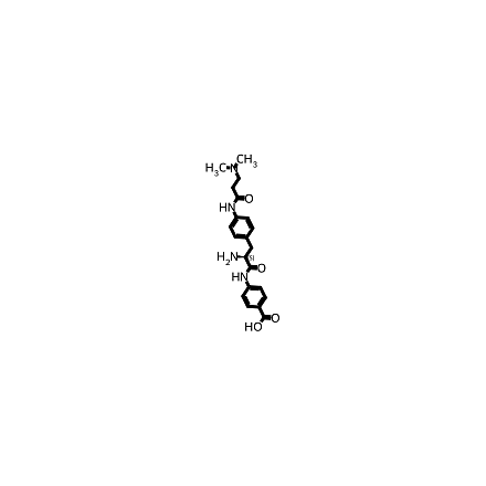 CN(C)CCC(=O)Nc1ccc(C[C@H](N)C(=O)Nc2ccc(C(=O)O)cc2)cc1